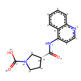 O=C(Nc1ccnc2ccccc12)[C@@H]1CCN(C(=O)O)C1